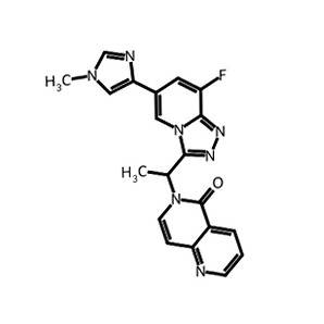 CC(c1nnc2c(F)cc(-c3cn(C)cn3)cn12)n1ccc2ncccc2c1=O